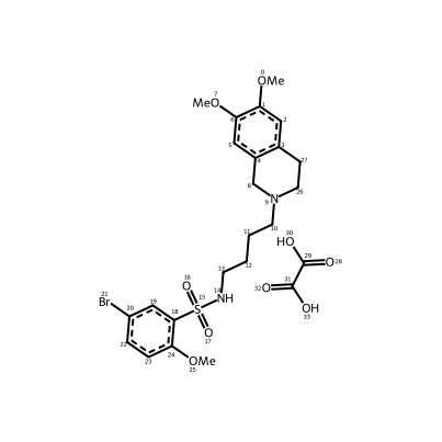 COc1cc2c(cc1OC)CN(CCCCNS(=O)(=O)c1cc(Br)ccc1OC)CC2.O=C(O)C(=O)O